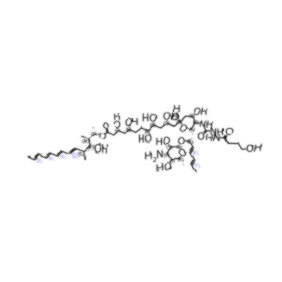 C/C=C/C=C/C=C/C=C/[C@H](C)[C@@H](O)[C@@H](C)[C@H](C)OC(=O)C[C@H](O)C[C@H](O)CC[C@@H](O)[C@H](O)C[C@H](O)C[C@]1(O)C[C@H](O)[C@@H](NC(=O)NNC(=O)CCCO)[C@H](C[C@H](/C=C/C=C/C)O[C@@H]2O[C@H](C)[C@@H](O)[C@H](N)[C@@H]2O)O1